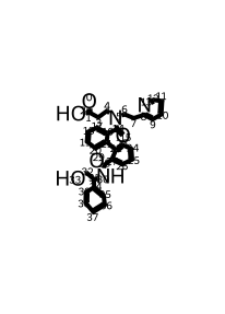 O=C(O)CCN(CCc1ccccn1)C(=O)c1ccccc1-c1ccccc1C(=O)NC(CO)c1ccccc1